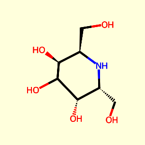 OC[C@H]1N[C@H](CO)[C@H](O)C(O)[C@H]1O